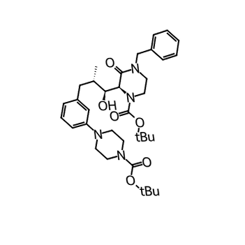 C[C@@H](Cc1cccc(N2CCN(C(=O)OC(C)(C)C)CC2)c1)[C@H](O)[C@H]1C(=O)N(Cc2ccccc2)CCN1C(=O)OC(C)(C)C